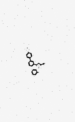 CS(=O)(=O)c1ccc(-c2cccc(C3CC(C(F)(F)C(F)(F)F)=NN3c3ccccc3Cl)c2)cc1